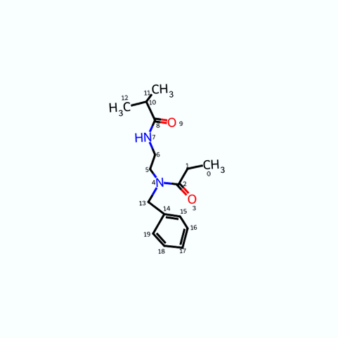 CCC(=O)N(CCNC(=O)C(C)C)Cc1ccccc1